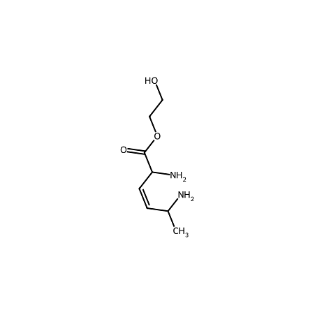 CC(N)/C=C\C(N)C(=O)OCCO